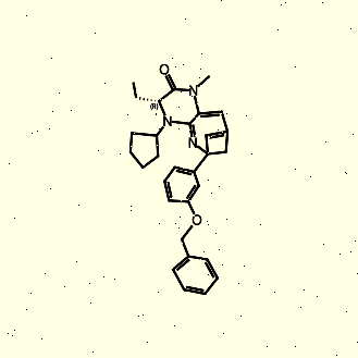 CC[C@@H]1C(=O)N(C)C2=CC3=CC(c4cccc(OCc5ccccc5)c4)(C3)N=C2N1C1CCCC1